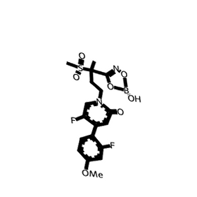 COc1ccc(-c2cc(=O)n(CCC(C)(C3=NOB(O)O3)S(C)(=O)=O)cc2F)c(F)c1